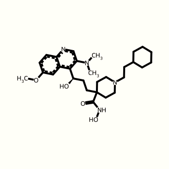 COc1ccc2ncc(N(C)C)c([C@H](O)CCC3(C(=O)NO)CCN(CCC4CCCCC4)CC3)c2c1